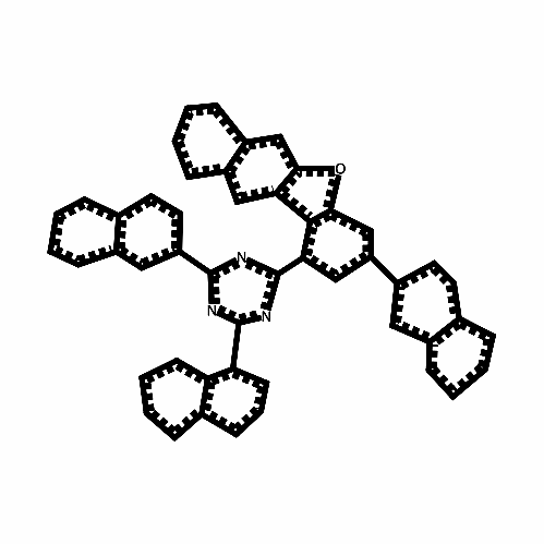 c1ccc2cc(-c3cc(-c4nc(-c5ccc6ccccc6c5)nc(-c5cccc6ccccc56)n4)c4c(c3)oc3cc5ccccc5cc34)ccc2c1